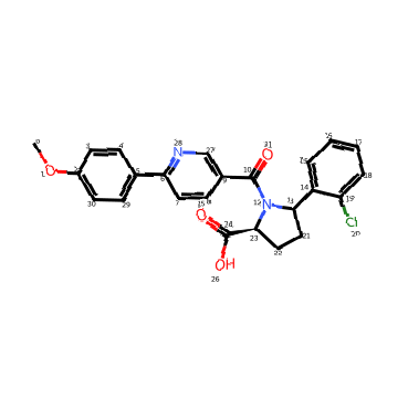 COc1ccc(-c2ccc(C(=O)N3C(c4ccccc4Cl)CC[C@H]3C(=O)O)cn2)cc1